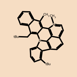 Cc1c2ccccc2c(CC(C)(C)C)c2c1c1c3c(ccc4c5c(C(C)(C)C)cccc5n2c43)cc[n+]1C